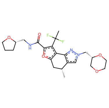 C[C@@H]1Cc2oc(C(=O)NC[C@@H]3CCCO3)c(C(C)(F)F)c2-c2nn(C[C@H]3COCCO3)cc21